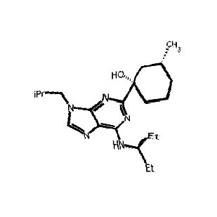 CCC(CC)Nc1nc([C@]2(O)CCC[C@@H](C)C2)nc2c1ncn2CC(C)C